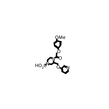 COc1ccc(OCC(=O)N2CCN(C(=O)O)CC2COc2cccnc2)cc1